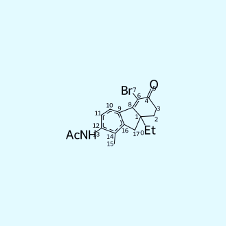 CCC12CCC(=O)C(Br)=C1c1ccc(NC(C)=O)c(C)c1C2